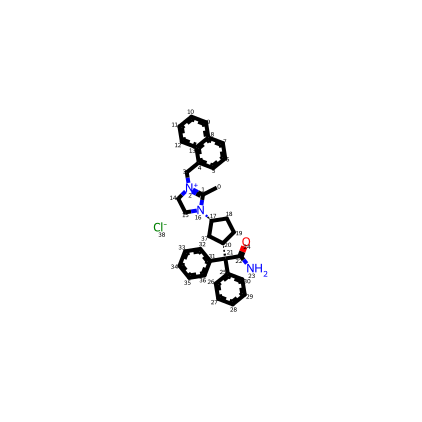 CC1=[N+](Cc2cccc3ccccc23)CCN1[C@@H]1CC[C@H](C(C(N)=O)(c2ccccc2)c2ccccc2)C1.[Cl-]